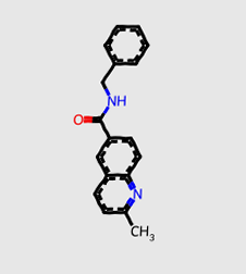 Cc1ccc2cc(C(=O)NCc3ccccc3)ccc2n1